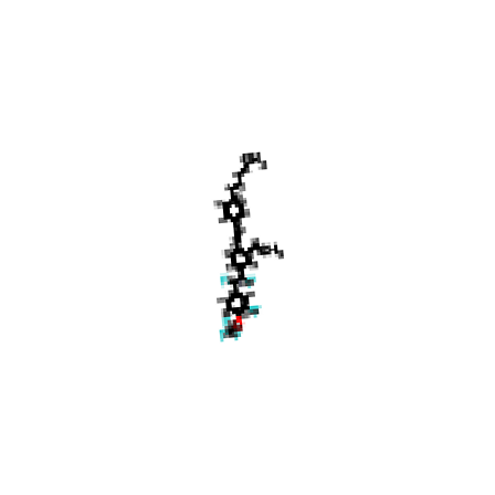 CCCCCc1ccc(C#Cc2ccc(/C(F)=C(\F)c3ccc(OC(F)(F)F)c(F)c3)cc2CC)cc1